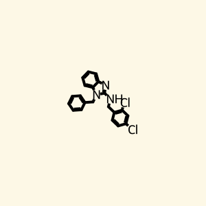 Clc1ccc(CNc2nc3ccccc3n2Cc2ccccc2)c(Cl)c1